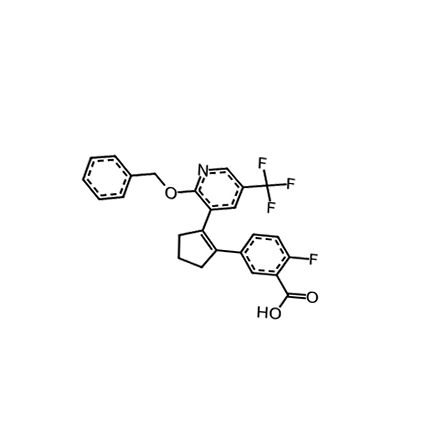 O=C(O)c1cc(C2=C(c3cc(C(F)(F)F)cnc3OCc3ccccc3)CCC2)ccc1F